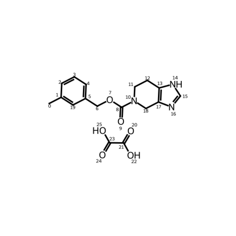 Cc1cccc(COC(=O)N2CCc3[nH]cnc3C2)c1.O=C(O)C(=O)O